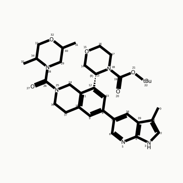 Cc1c[nH]c2ncc(-c3cc4c(c([C@@H]5COCCN5C(=O)OC(C)(C)C)c3)CN(C(=O)N3CC(C)OCC3C)CC4)cc12